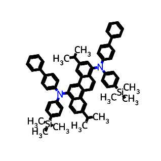 CC(C)c1ccc2c(N(c3ccc(-c4ccccc4)cc3)c3ccc([Si](C)(C)C)cc3)cc3c4cc(C(C)C)cc(N(c5ccc(-c6ccccc6)cc5)c5ccc([Si](C)(C)C)cc5)c4ccc3c2c1